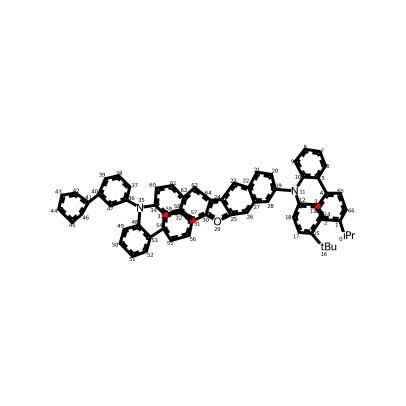 CC(C)c1ccc(-c2ccccc2N(c2ccc(C(C)(C)C)cc2)c2ccc3cc4c(cc3c2)oc2cc3cc(N(c5cccc(-c6ccccc6)c5)c5ccccc5-c5ccccc5)ccc3cc24)cc1